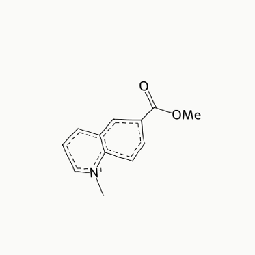 COC(=O)c1ccc2c(ccc[n+]2C)c1